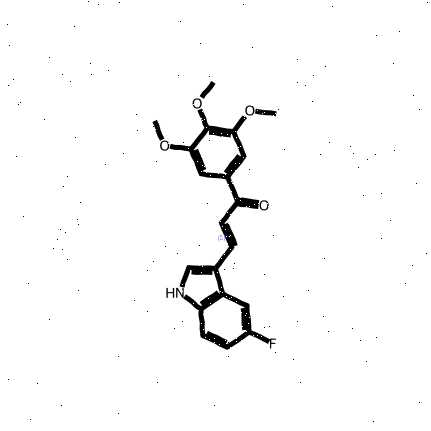 COc1cc(C(=O)/C=C/c2c[nH]c3ccc(F)cc23)cc(OC)c1OC